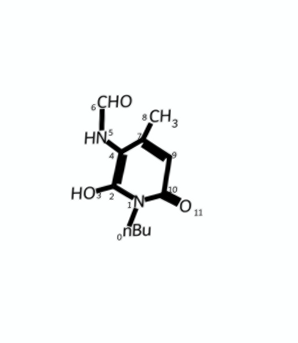 CCCCn1c(O)c(NC=O)c(C)cc1=O